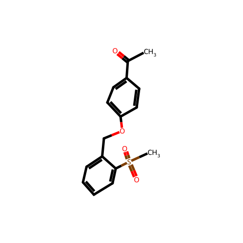 CC(=O)c1ccc(OCc2ccccc2S(C)(=O)=O)cc1